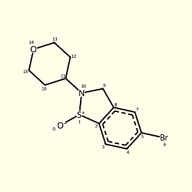 [O-][S+]1c2ccc(Br)cc2CN1C1CCOCC1